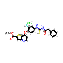 COC(=O)c1cc2nccc(Oc3ccc(NC(=S)NC(=O)Cc4ccccc4)cc3F)c2s1.Cl